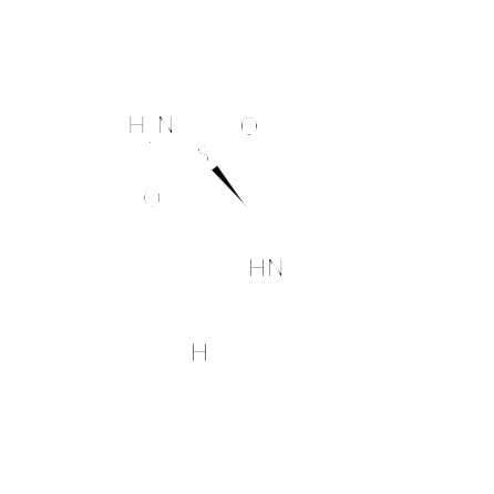 NS(=O)(=O)[C@H]1CC2=CC[C@@H](C1)N2